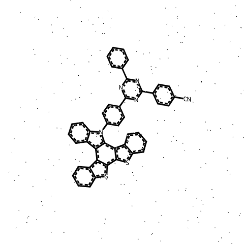 N#Cc1ccc(-c2nc(-c3ccccc3)nc(-c3ccc(-n4c5ccccc5c5c6c7ccccc7sc6c6sc7ccccc7c6c54)cc3)n2)cc1